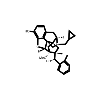 CO[C@]12C[C@@]3(C[C@]1(C)[C@@H](O)c1ccccc1C)[C@H]1Cc4ccc(O)c5c4[C@@]3(CCN1CC1CC1)[C@H]2O5